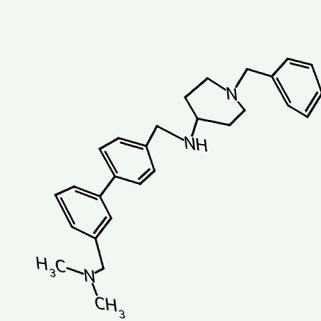 CN(C)Cc1cccc(-c2ccc(CNC3CCN(Cc4ccccc4)CC3)cc2)c1